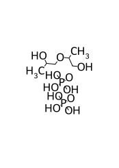 CC(O)COC(C)CO.O=P(O)(O)O.O=P(O)(O)O